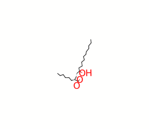 CCCCCCCCCCCC(O)C[C@@H]1OC(=O)[C@H]1CCCCCC